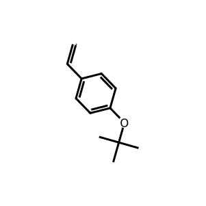 [CH]=Cc1ccc(OC(C)(C)C)cc1